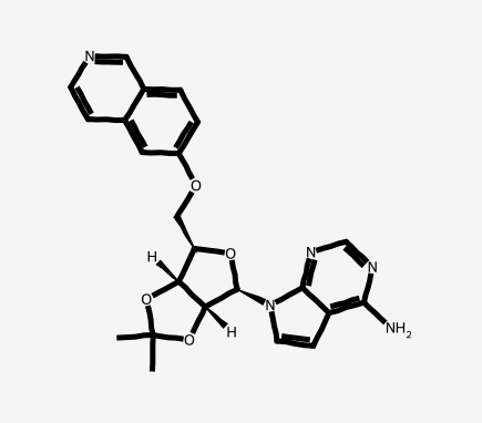 CC1(C)O[C@@H]2[C@H](O1)[C@@H](COc1ccc3cnccc3c1)O[C@H]2n1ccc2c(N)ncnc21